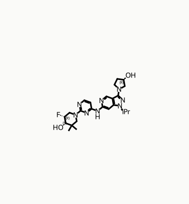 CC(C)n1nc(N2CC[C@@H](O)C2)c2cnc(Nc3ccnc(N4C[C@@H](F)[C@@H](O)C(C)(C)C4)n3)cc21